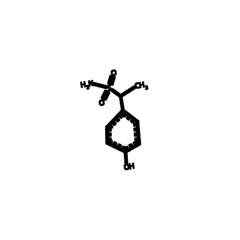 CC(c1ccc(O)cc1)S(N)(=O)=O